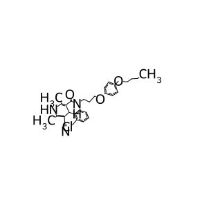 CCCCOc1ccc(OCCCNC(=O)C2=C(C)NC(C)=C(C#N)C2c2ccccc2Cl)cc1